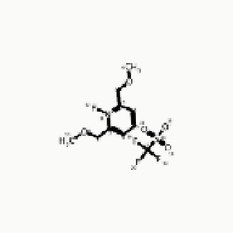 COCc1cccc(COC)[n+]1F.O=S(=O)([O-])C(F)(F)F